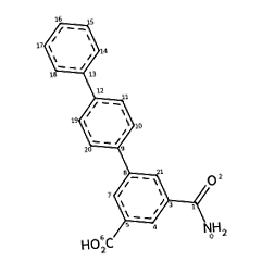 NC(=O)c1cc(C(=O)O)cc(-c2ccc(-c3ccccc3)cc2)c1